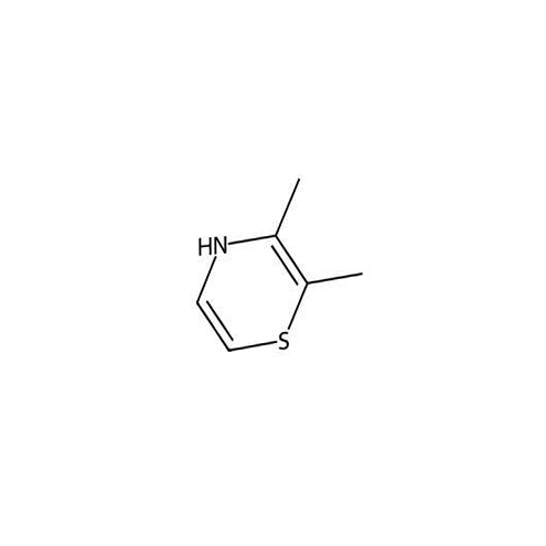 CC1=C(C)SC=CN1